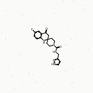 O=C1CC2(CCN(C(=O)NCc3cc[nH]n3)CC2)Nc2ccc(F)cc21